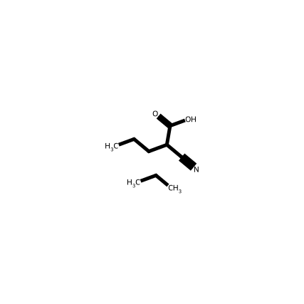 CCC.CCCC(C#N)C(=O)O